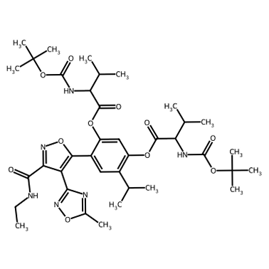 CCNC(=O)c1noc(-c2cc(C(C)C)c(OC(=O)C(NC(=O)OC(C)(C)C)C(C)C)cc2OC(=O)C(NC(=O)OC(C)(C)C)C(C)C)c1-c1noc(C)n1